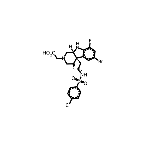 C=C1CN(CC(=O)O)C[C@@H]2Nc3c(F)cc(Br)cc3[C@]12CCNS(=O)(=O)c1ccc(Cl)cc1